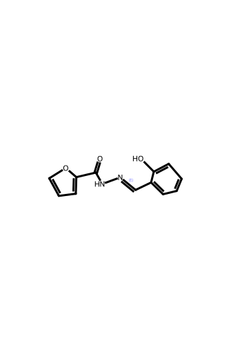 O=C(N/N=C/c1ccccc1O)c1ccco1